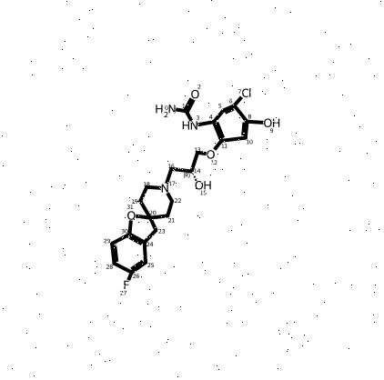 NC(=O)Nc1cc(Cl)c(O)cc1OC[C@H](O)CN1CCC2(CC1)Cc1cc(F)ccc1O2